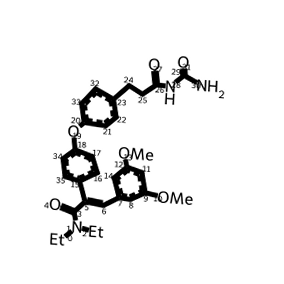 CCN(CC)C(=O)/C(=C/c1cc(OC)cc(OC)c1)c1ccc(Oc2ccc(CCC(=O)NC(N)=O)cc2)cc1